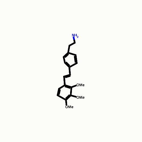 COc1ccc(C=Cc2ccc(CCN)cc2)c(OC)c1OC